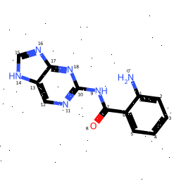 Nc1ccccc1C(=O)Nc1ncc2[nH]cnc2n1